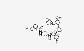 Cc1cccc(C(=O)NC2CCC(NC(=O)c3cc(F)cnc3Oc3cccc(-c4ccc(O)cc4CN4CCCOCC4)c3)CC2)n1